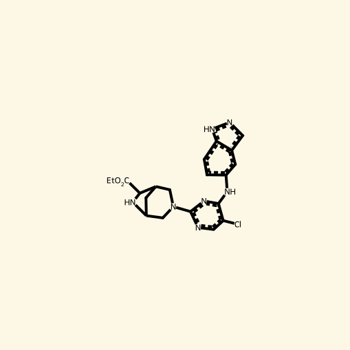 CCOC(=O)C1NC2CC1CN(c1ncc(Cl)c(Nc3ccc4[nH]ncc4c3)n1)C2